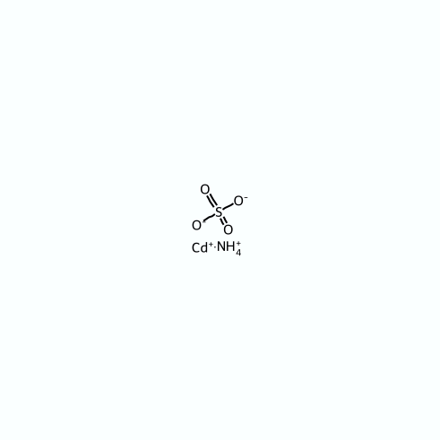 O=S(=O)([O-])[O-].[Cd+].[NH4+]